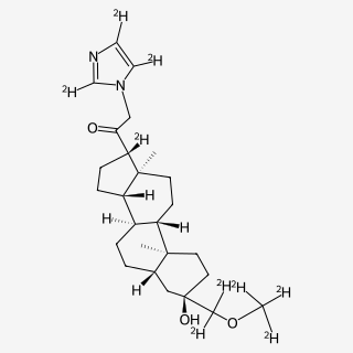 [2H]c1nc([2H])n(CC(=O)[C@@]2([2H])CC[C@H]3[C@@H]4CC[C@H]5C[C@@](O)(C([2H])([2H])OC([2H])([2H])[2H])CC[C@]5(C)[C@H]4CC[C@@]32C)c1[2H]